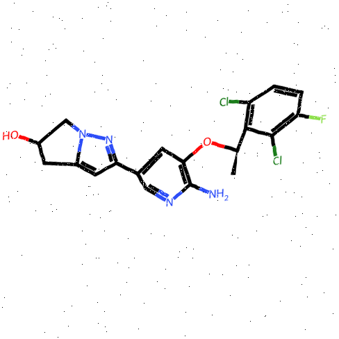 C[C@@H](Oc1cc(-c2cc3n(n2)CC(O)C3)cnc1N)c1c(Cl)ccc(F)c1Cl